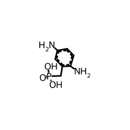 Nc1ccc(N)c(CP(=O)(O)O)c1